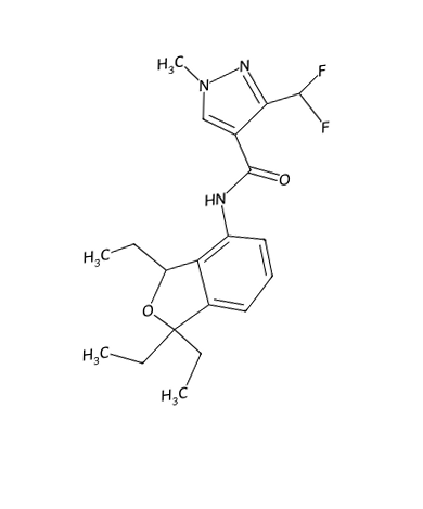 CCC1OC(CC)(CC)c2cccc(NC(=O)c3cn(C)nc3C(F)F)c21